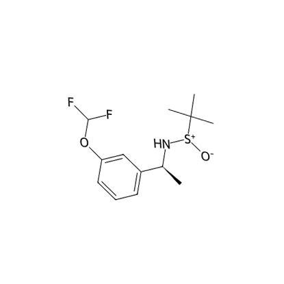 C[C@H](N[S+]([O-])C(C)(C)C)c1cccc(OC(F)F)c1